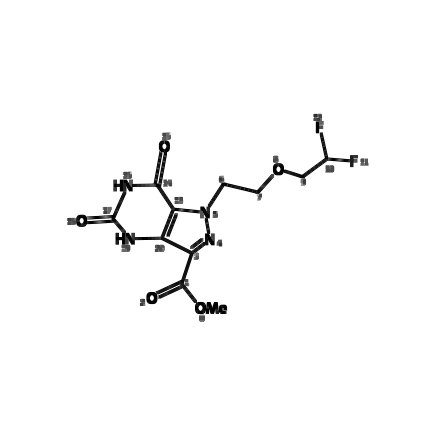 COC(=O)c1nn(CCOCC(F)F)c2c(=O)[nH]c(=O)[nH]c12